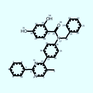 Cc1cnc(-c2ccccc2)nc1-c1ccc(N(Cc2ccccc2)C(=O)c2ccc(O)cc2O)cc1